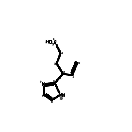 C=CC(CCS(=O)(=O)O)c1ncc[nH]1